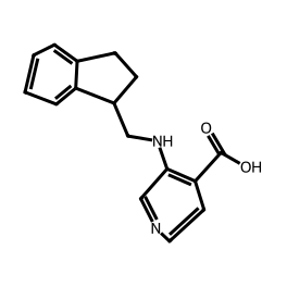 O=C(O)c1ccncc1NCC1CCc2ccccc21